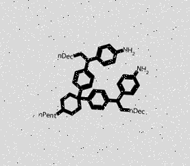 CCCCCCCCCCCC(c1ccc(N)cc1)c1ccc(C2(c3ccc(C(CCCCCCCCCCC)c4ccc(N)cc4)cc3)CCC(CCCCC)CC2)cc1